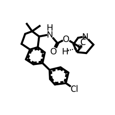 CC1(C)CCc2ccc(-c3ccc(Cl)cc3)cc2C1NC(=O)O[C@H]1CN2CCC1CC2